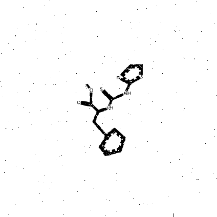 COC(=O)C(Cc1ccccc1)NC(=S)Nc1nccs1